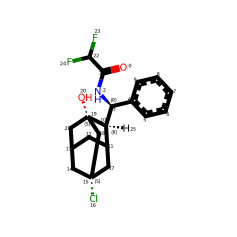 O=C(N[C@@H](c1ccccc1)[C@H]1C2CC3C[C@](Cl)(C2)C[C@@]1(O)C3)C(F)F